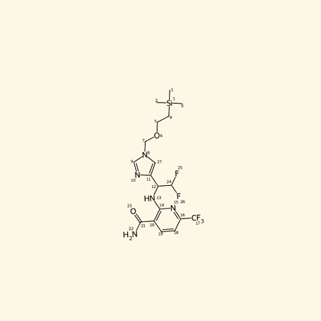 C[Si](C)(C)CCOCn1cnc(C(Nc2nc(C(F)(F)F)ccc2C(N)=O)C(F)F)c1